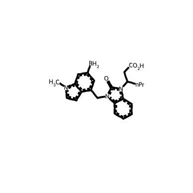 Bc1cc(Cn2c(=O)n(C(CCC)CC(=O)O)c3ccccc32)c2ccn(C)c2c1